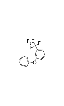 FC(F)(F)C(F)(F)c1cccc(Oc2ccccc2)c1